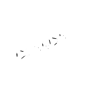 NC(=O)c1ccc(NC(=S)NCCOc2ccccc2F)cc1